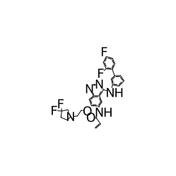 C=CC(=O)Nc1cc2c(Nc3cccc(-c4ccc(F)cc4F)c3)ncnc2cc1OCCN1CCC(F)(F)C1